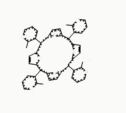 CCCCc1ncccc1-c1c2nc(c(-c3cccnc3CCCC)c3ccc([nH]3)c(-c3cccnc3CCCC)c3nc(c(-c4cccnc4CCCC)c4ccc1[nH]4)C=C3)C=C2